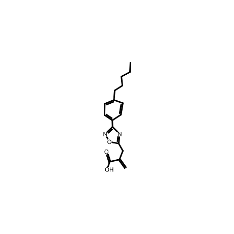 C=C(Cc1nc(-c2ccc(CCCCC)cc2)no1)C(=O)O